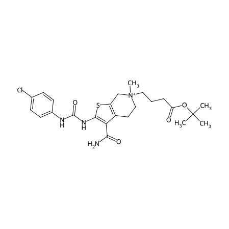 CC(C)(C)OC(=O)CCC[N+]1(C)CCc2c(sc(NC(=O)Nc3ccc(Cl)cc3)c2C(N)=O)C1